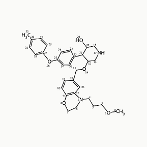 COCCCN1CCOc2ccc(COC3CNCC(O)C3c3ccc(Oc4ccc(C)cc4)cc3)cc21